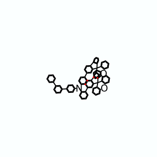 c1ccc(-c2cccc(-c3ccc(N(c4ccc(-c5ccc6c(c5)C5(c7ccccc7Oc7ccccc75)c5ccccc5-6)cc4)c4ccccc4-c4ccc5c(c4)C4(c6ccccc6Oc6ccccc64)c4ccccc4-5)cc3)c2)cc1